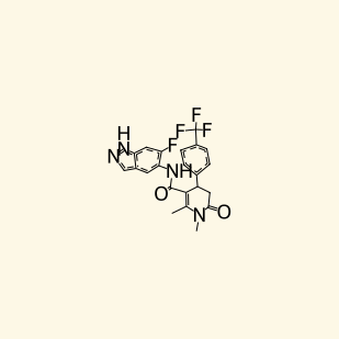 CC1=C(C(=O)Nc2cc3cn[nH]c3cc2F)C(c2ccc(C(F)(F)F)cc2)CC(=O)N1C